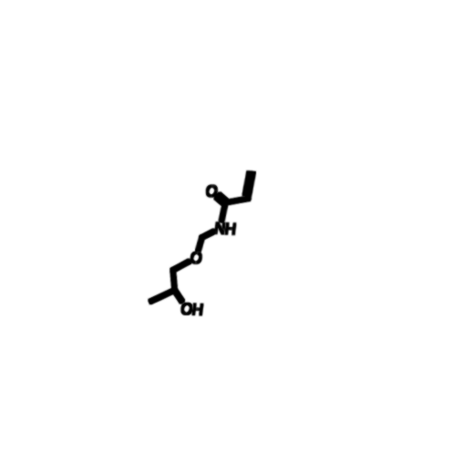 C=CC(=O)NCOCC(C)O